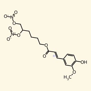 COc1cc(/C=C/C(=O)OCCCCC(CO[N+](=O)[O-])O[N+](=O)[O-])ccc1O